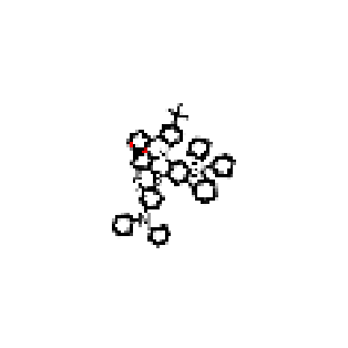 Cc1cc2c3c(c1)N(c1ccc(C(C)(C)C)cc1-c1ccccc1)c1cc4c(cc1B3c1ccc(N(c3ccccc3)c3ccccc3)cc1S2)-c1ccccc1[Si]4(c1ccccc1)c1ccccc1